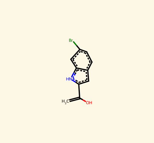 C=C(O)c1cc2ccc(Br)cc2[nH]1